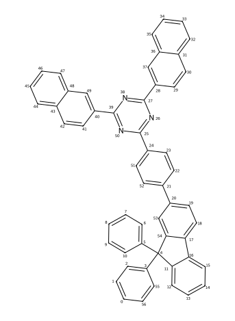 c1ccc(C2(c3ccccc3)c3ccccc3-c3ccc(-c4ccc(-c5nc(-c6ccc7ccccc7c6)nc(-c6ccc7ccccc7c6)n5)cc4)cc32)cc1